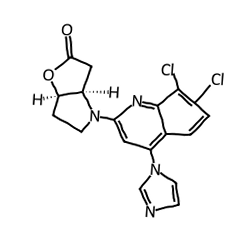 O=C1C[C@@H]2[C@@H](CCN2c2cc(-n3ccnc3)c3ccc(Cl)c(Cl)c3n2)O1